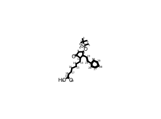 CC(C)(C)[Si](C)(C)OC1CC(=O)C(CCCCCCC(=O)O)C1C=Cc1ccccc1